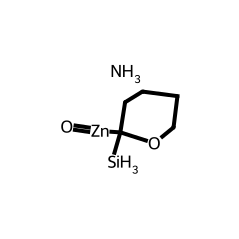 N.[O]=[Zn][C]1([SiH3])CCCCO1